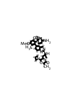 C=CC(=O)N1CC(Nc2ncc3cc(-c4c(C)c(OC)cc(OC)c4-n4ccc(N)nc4=O)ccc3n2)CC1C(=O)N1CCC1